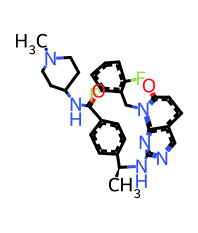 C[C@H](Nc1ncc2ccc(=O)n(Cc3c(F)cccc3F)c2n1)c1ccc(C(=O)NC2CCN(C)CC2)cc1